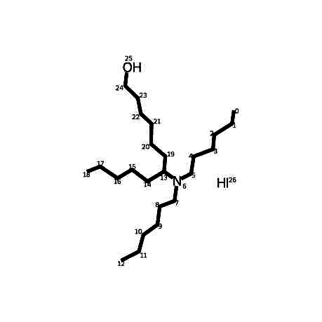 CCCCCCN(CCCCCC)C(CCCCC)CCCCCCO.I